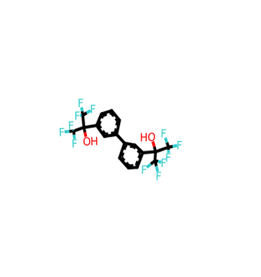 OC(c1cccc(-c2cccc(C(O)(C(F)(F)F)C(F)(F)F)c2)c1)(C(F)(F)F)C(F)(F)F